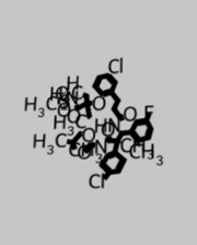 CCC(CC)(Oc1ccc(Cl)cc1CCC(=O)N[C@@H](c1cc(F)ccc1C)[C@@]1(C)C(=O)N(C(=O)OCC(C)C)c2cc(Cl)ccc21)C(=O)NS(C)(=O)=O